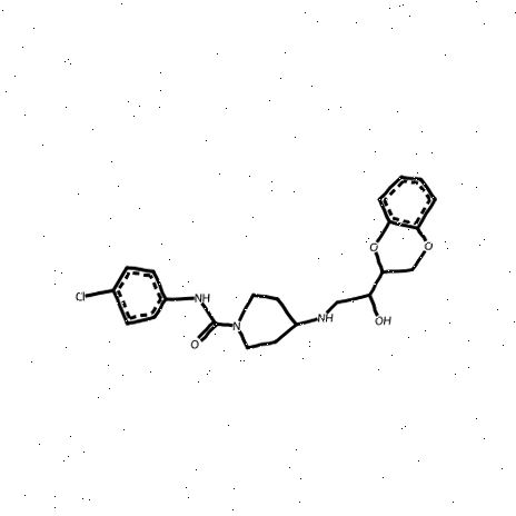 O=C(Nc1ccc(Cl)cc1)N1CCC(NCC(O)C2COc3ccccc3O2)CC1